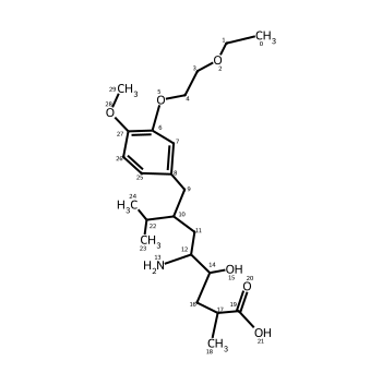 CCOCCOc1cc(CC(CC(N)C(O)CC(C)C(=O)O)C(C)C)ccc1OC